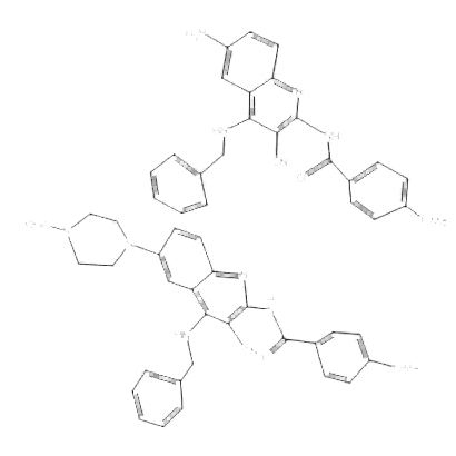 COc1ccc(C(=O)Nc2nc3ccc(N)cc3c(NCc3ccccc3)c2C#N)cc1.COc1ccc(C(=O)Nc2nc3ccc(N4CCN(C=O)CC4)cc3c(NCc3ccccc3)c2C#N)cc1